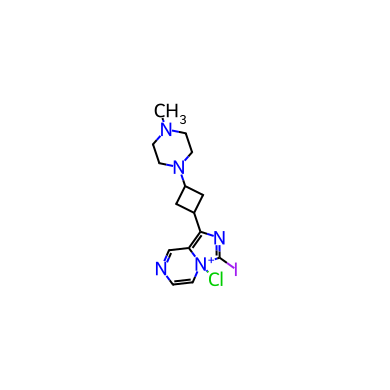 CN1CCN(C2CC(C3=C4C=NC=C[N+]4(Cl)C(I)=N3)C2)CC1